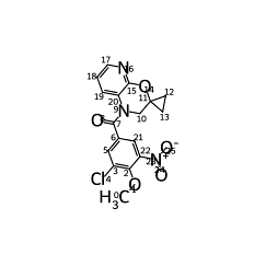 COc1c(Cl)cc(C(=O)N2CC3(CC3)Oc3ncccc32)cc1[N+](=O)[O-]